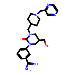 N=C(N)c1cccc(N2CC(CO)CN(CC3CCN(Cc4cnccn4)CC3)C2=O)c1